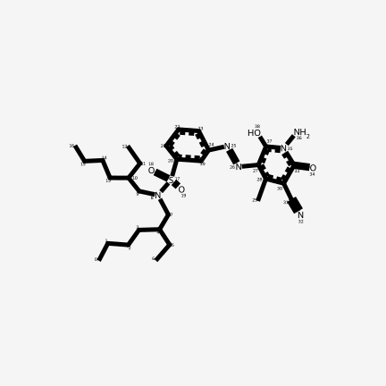 CCCCC(CC)CN(CC(CC)CCCC)S(=O)(=O)c1cccc(/N=N/c2c(C)c(C#N)c(=O)n(N)c2O)c1